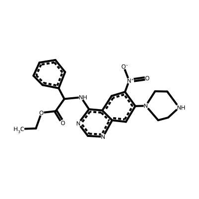 CCOC(=O)C(Nc1ncnc2cc(N3CCNCC3)c([N+](=O)[O-])cc12)c1ccccc1